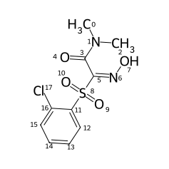 CN(C)C(=O)C(=NO)S(=O)(=O)c1ccccc1Cl